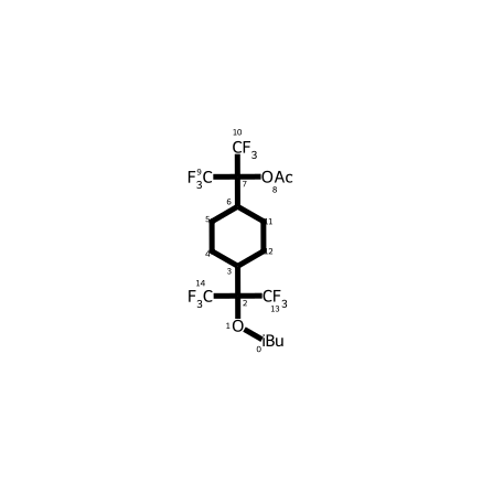 CCC(C)OC(C1CCC(C(OC(C)=O)(C(F)(F)F)C(F)(F)F)CC1)(C(F)(F)F)C(F)(F)F